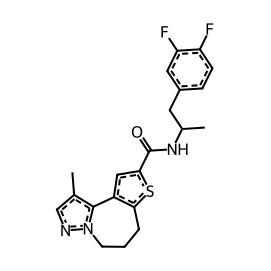 Cc1cnn2c1-c1cc(C(=O)NC(C)Cc3ccc(F)c(F)c3)sc1CCC2